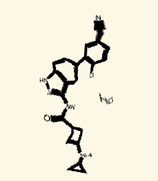 Cl.N#Cc1ccc(Cl)c(-c2ccc3[nH]nc(NC(=O)C4CC(NC5CC5)C4)c3c2)c1